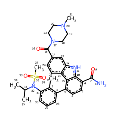 Cc1c(-c2ccc(C(N)=O)c3[nH]c4cc(C(=O)N5CCN(C)CC5)ccc4c23)cccc1N(C(C)C)S(C)(=O)=O